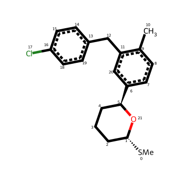 CS[C@@H]1CCC[C@@H](c2ccc(C)c(Cc3ccc(Cl)cc3)c2)O1